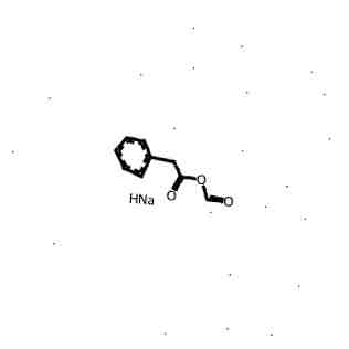 O=COC(=O)Cc1ccccc1.[NaH]